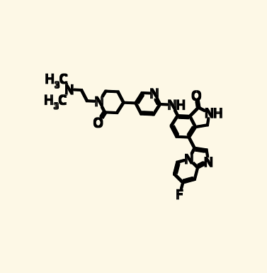 CN(C)CCN1CCC(c2ccc(Nc3ccc(-c4cnc5cc(F)ccn45)c4c3C(=O)NC4)nc2)CC1=O